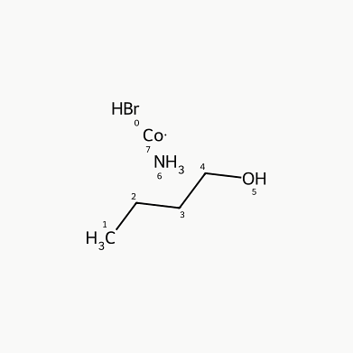 Br.CCCCO.N.[Co]